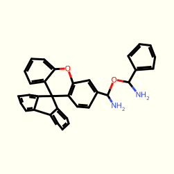 NC(OC(N)c1ccc2c(c1)Oc1ccccc1C21c2ccccc2-c2ccccc21)c1ccccc1